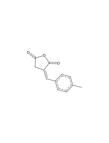 Cc1ccc(C=C2CC(=O)OC2=O)cc1